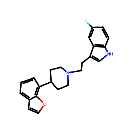 Fc1ccc2[nH]cc(CCN3CCC(c4cccc5ccoc45)CC3)c2c1